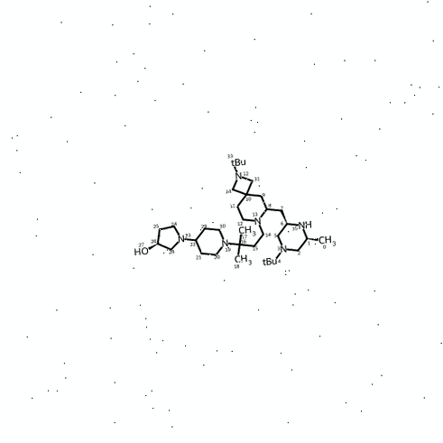 C[C@H]1CN(C(C)(C)C)C[C@@H](CC2CC3(CCN2CCC(C)(C)N2CCC(N4CC[C@H](O)C4)CC2)CN(C(C)(C)C)C3)N1